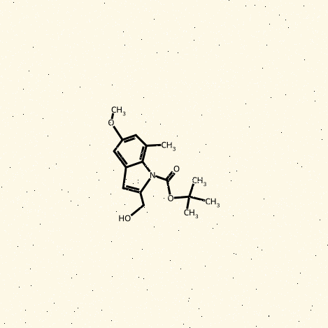 COc1cc(C)c2c(c1)cc(CO)n2C(=O)OC(C)(C)C